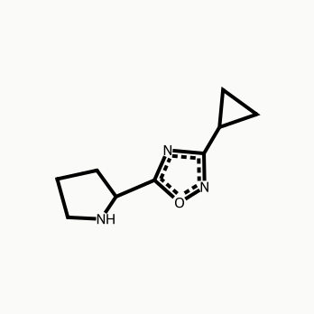 C1CNC(c2nc(C3CC3)no2)C1